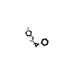 c1ccc([C@@H]2C[C@H]2NC[C@H]2CCNC2)cc1